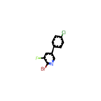 Fc1cc(-c2ccc(Cl)cc2)cnc1Br